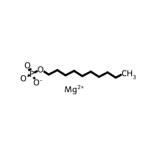 CCCCCCCCCCOP(=O)([O-])[O-].[Mg+2]